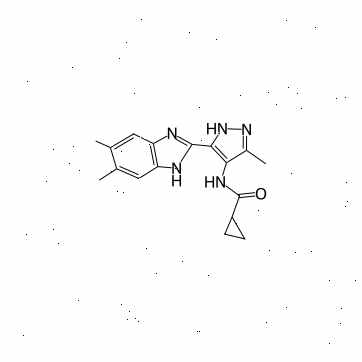 Cc1cc2nc(-c3[nH]nc(C)c3NC(=O)C3CC3)[nH]c2cc1C